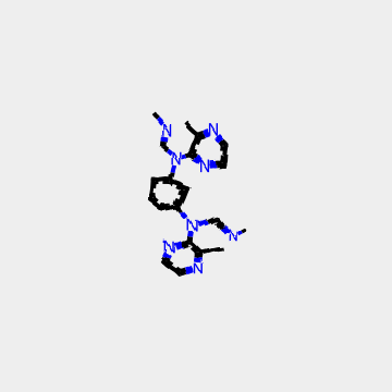 C/N=C/N(c1cccc(N(/C=N/C)c2nccnc2C)c1)c1nccnc1C